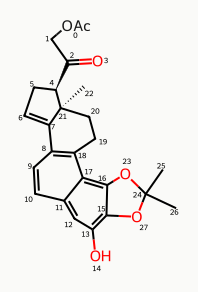 CC(=O)OCC(=O)[C@@H]1CC=C2c3ccc4cc(O)c5c(c4c3CC[C@@]21C)OC(C)(C)O5